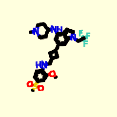 COc1cc(S(C)(=O)=O)ccc1NCC1CC(c2cc(NC3CCN(C)CC3)c3ccn(CC(F)(F)F)c3c2)C1